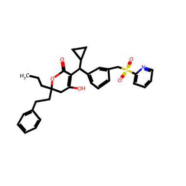 CCCC1(CCc2ccccc2)CC(O)=C(C(c2cccc(CS(=O)(=O)c3ccccn3)c2)C2CC2)C(=O)O1